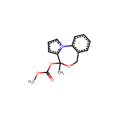 COC(=O)OC1(C)OCc2ccccc2-n2cccc21